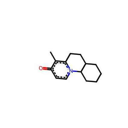 Cc1c2n(ccc1=O)C1CCCCC1CC2